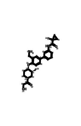 NCc1cc(-c2cccc(NC(=O)C3(F)CC3)c2)ccc1O[C@H]1CCN(C(=O)CO)C[C@H]1F